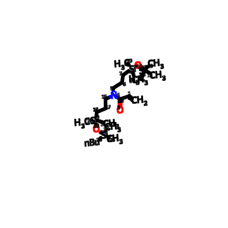 C=CC(=O)N(CCC[Si](C)(C)O[Si](C)(C)C)CCC[Si](C)(C)O[Si](C)(C)CCCC